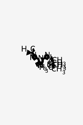 CC[C@H](C1CC1)n1cc(-c2nc(-c3cnn(C[C@H](C)O[Si](C)(C)C(C)(C)C)c3)cn3nccc23)cn1